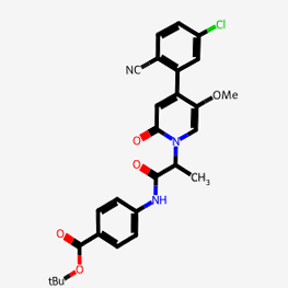 COc1cn(C(C)C(=O)Nc2ccc(C(=O)OC(C)(C)C)cc2)c(=O)cc1-c1cc(Cl)ccc1C#N